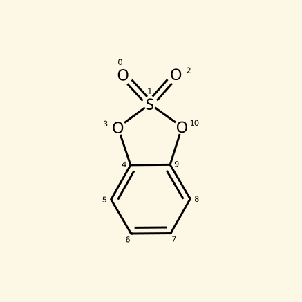 O=S1(=O)Oc2ccccc2O1